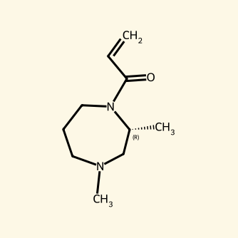 C=CC(=O)N1CCCN(C)C[C@H]1C